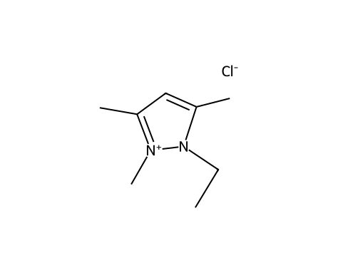 CCn1c(C)cc(C)[n+]1C.[Cl-]